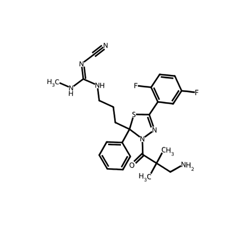 CN/C(=N/C#N)NCCCC1(c2ccccc2)SC(c2cc(F)ccc2F)=NN1C(=O)C(C)(C)CN